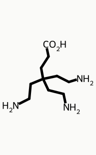 NCCC(CCN)(CCN)CCC(=O)O